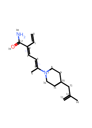 C=C/C(=C\C=C(/C)N1CCC(CC(=C)C)CC1)C(N)=O